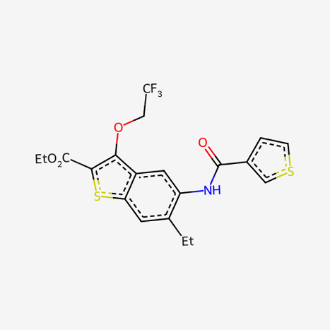 CCOC(=O)c1sc2cc(CC)c(NC(=O)c3ccsc3)cc2c1OCC(F)(F)F